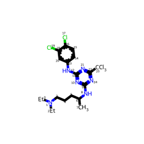 CCN(CC)CCCC(C)Nc1nc(Nc2ccc(Cl)c(Cl)c2)nc(C(Cl)(Cl)Cl)n1